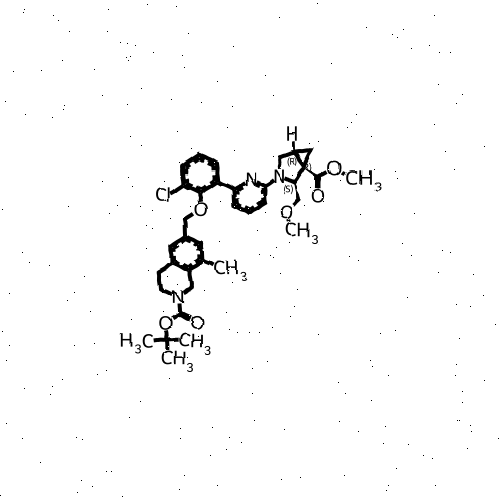 COC[C@H]1N(c2cccc(-c3cccc(Cl)c3OCc3cc(C)c4c(c3)CCN(C(=O)OC(C)(C)C)C4)n2)C[C@@H]2C[C@@]21C(=O)OC